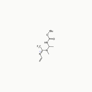 C=C/N=C(\N(C)C(C)NC(=O)OC(C)(C)C)C(F)(F)F